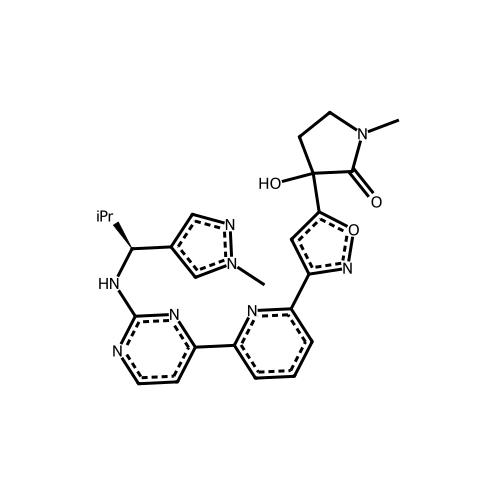 CC(C)[C@H](Nc1nccc(-c2cccc(-c3cc(C4(O)CCN(C)C4=O)on3)n2)n1)c1cnn(C)c1